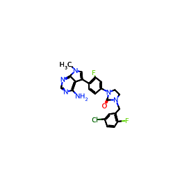 Cn1cc(-c2ccc(N3CCN(Cc4cc(Cl)ccc4F)C3=O)cc2F)c2c(N)ncnc21